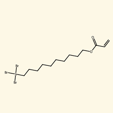 C=CC(=O)OCCCCCCCCCC[Si](Br)(Br)Br